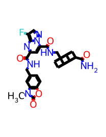 Cn1c(=O)oc2ccc(CNC(=O)c3cc(C(=O)NCC45C6C7C4C4C5C6C74C(N)=O)n4ncc(F)c4n3)cc21